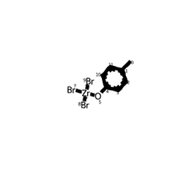 Cc1ccc([O][Zr]([Br])([Br])[Br])cc1